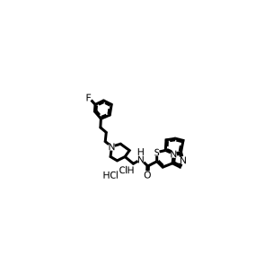 Cl.Cl.O=C(NCC1CCN(CCCc2cccc(F)c2)CC1)C1=Cc2cnc3cccc(n23)S1